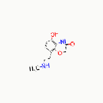 CNCCc1ccc(O)c2c1OCC(=O)N2